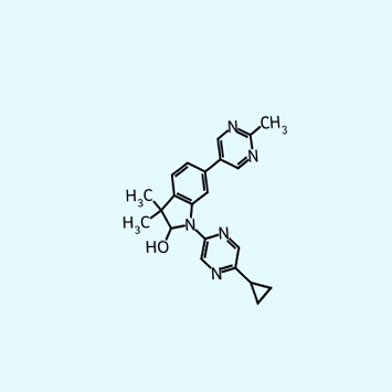 Cc1ncc(-c2ccc3c(c2)N(c2cnc(C4CC4)cn2)C(O)C3(C)C)cn1